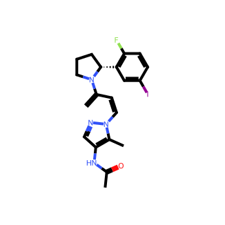 C=C(/C=C\n1ncc(NC(C)=O)c1C)N1CCC[C@@H]1c1cc(I)ccc1F